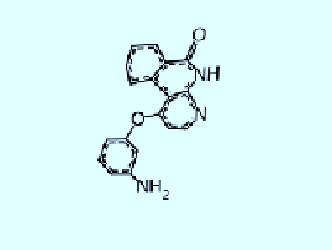 Nc1cccc(Oc2ccnc3[nH]c(=O)c4ccccc4c23)c1